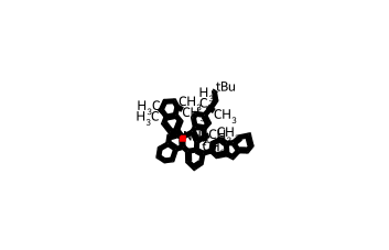 Cc1cc(-c2cccc(-c3c(N)ccc4c3CCCC4)c2C2=C(Cc3ccc4c(c3)C(C)(C)CCC4(C)C)C3=C(C=C(C(C)(C)CCC(C)(C)C)CC3)C2(C)C)cc2c1-c1ccccc1C2